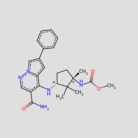 COC(=O)N[C@@]1(C)CC[C@@H](Nc2c(C(N)=O)cnn3cc(-c4ccccc4)cc23)C1(C)C